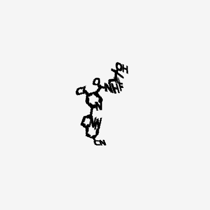 CC(C)(O)[C@H](F)CNC(=O)c1cnc(-c2ccc3cc(C#N)cnn23)cc1Cl